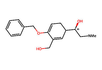 CNC[C@H](O)C1C=C(CO)C(OCc2ccccc2)=CC1